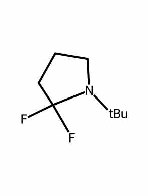 CC(C)(C)N1CCCC1(F)F